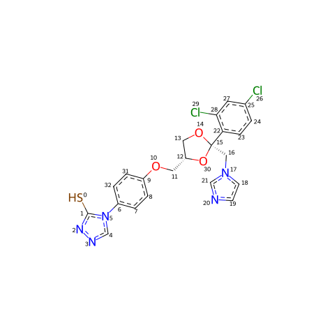 Sc1nncn1-c1ccc(OC[C@@H]2CO[C@@](Cn3ccnc3)(c3ccc(Cl)cc3Cl)O2)cc1